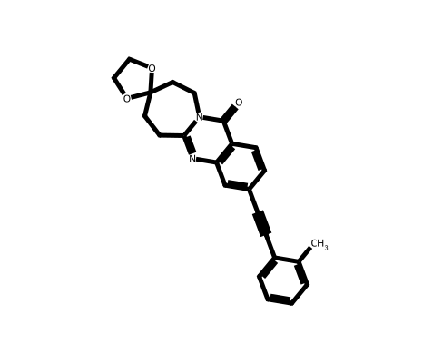 Cc1ccccc1C#Cc1ccc2c(=O)n3c(nc2c1)CCC1(CC3)OCCO1